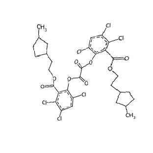 CC1CCC(CCOC(=O)c2c(Cl)c(Cl)cc(Cl)c2OC(=O)C(=O)Oc2c(Cl)cc(Cl)c(Cl)c2C(=O)OCCC2CCC(C)C2)C1